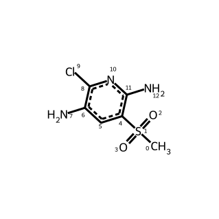 CS(=O)(=O)c1cc(N)c(Cl)nc1N